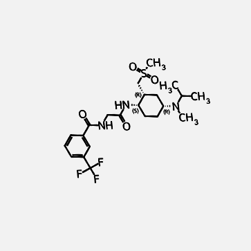 CC(C)N(C)[C@@H]1CC[C@H](NC(=O)CNC(=O)c2cccc(C(F)(F)F)c2)[C@H](CS(C)(=O)=O)C1